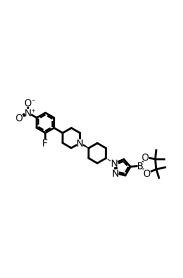 CC1(C)OB(c2cnn([C@H]3CC[C@H](N4CCC(c5ccc([N+](=O)[O-])cc5F)CC4)CC3)c2)OC1(C)C